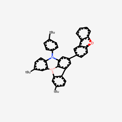 CC(C)(C)c1ccc(N2c3ccc(C(C)(C)C)cc3B3c4cc(C(C)(C)C)ccc4-c4cc(-c5ccc6oc7ccccc7c6c5)cc2c43)cc1